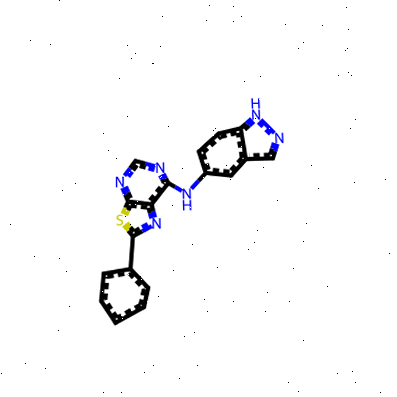 c1ccc(-c2nc3c(Nc4ccc5[nH]ncc5c4)ncnc3s2)cc1